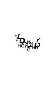 CCN1CCCC(Nc2nnc(-c3ccc(C(F)(F)F)cc3O)n(C)c2=O)C1